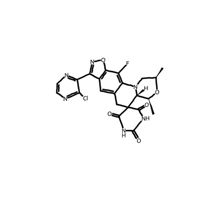 C[C@@H]1CN2c3c(cc4c(-c5nccnc5Cl)noc4c3F)CC3(C(=O)NC(=O)NC3=O)[C@H]2[C@H](C)O1